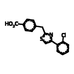 O=C(O)c1ccc(Cc2nc(-c3ccccc3Cl)cs2)cc1